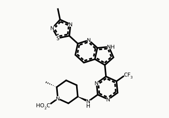 Cc1nsc(-c2ccc3c(-c4nc(N[C@@H]5CC[C@@H](C)N(C(=O)O)C5)ncc4C(F)(F)F)c[nH]c3n2)n1